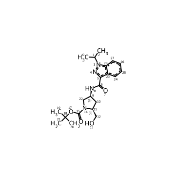 CC(C)n1nc(C(=O)N[C@H]2C[C@@H](CO)N(C(=O)OC(C)(C)C)C2)c2ccccc21